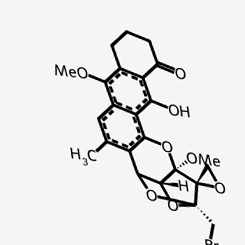 COc1c2c(c(O)c3c4c(c(C)cc13)C1O[C@]3(CBr)O[C@H]1[C@@](OC)(O4)[C@@]31CO1)C(=O)CCC2